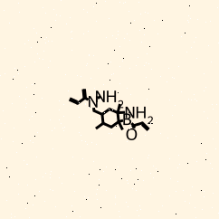 C=CC(=C)N(N)CC1CC(C)(C)C(C)(B(N)C(=O)C=C)CC1C